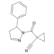 N#CC1(C(=O)N2N=CCC2c2ccccc2)CC1